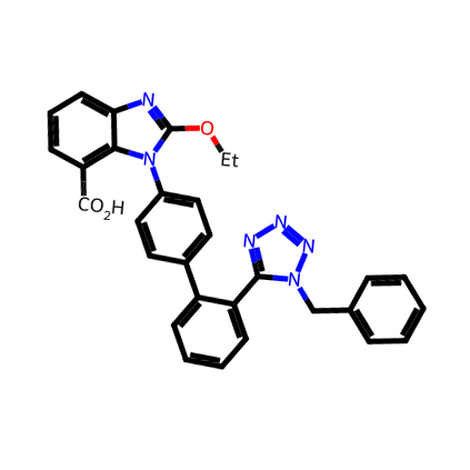 CCOc1nc2cccc(C(=O)O)c2n1-c1ccc(-c2ccccc2-c2nnnn2Cc2ccccc2)cc1